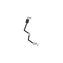 C#CCSC[CH2]